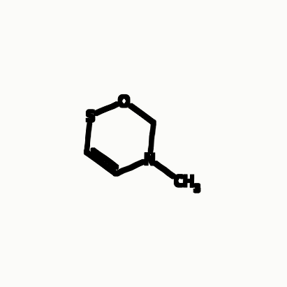 CN1C=CSOC1